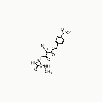 CN[C@H]1C(=O)N[C@@H]1CC(=O)C(=[N+]=[N-])C(=O)OCc1ccc([N+](=O)[O-])cc1